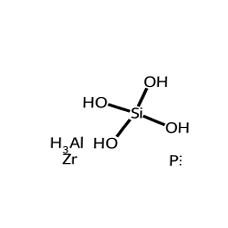 O[Si](O)(O)O.[AlH3].[P].[Zr]